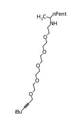 CCCCCC(C)NCCOCCOCCOCCOCCOCC#CC(C)CC